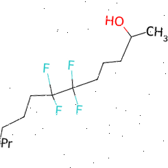 CC(C)CCCC(F)(F)C(F)(F)CCCC(C)O